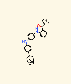 C=CC(=O)c1ccccc1Nc1ccc(Nc2ccc(C34CC5CC(C3)C(C5)C4)cc2)cc1